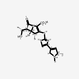 C[C@@H](O)[C@H]1C(=O)N2C(C(=O)O)=C(Sc3nc(C4=C[C@H](C)N(C)C4)cs3)[C@H](C)[C@H]12